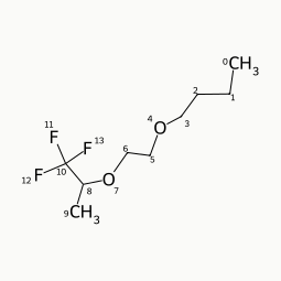 CCCCOCCOC(C)C(F)(F)F